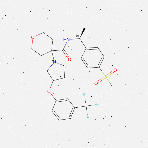 C[C@H](NC(=O)C1(N2CCC(Oc3cccc(C(F)(F)F)c3)C2)CCOCC1)c1ccc(S(C)(=O)=O)cc1